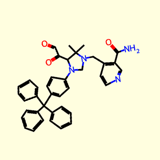 CC1(C)C(C(=O)C=O)N(c2ccc(C(c3ccccc3)(c3ccccc3)c3ccccc3)cc2)CN1Cc1ccncc1C(N)=O